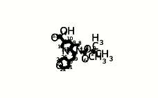 CC(C)(C)OC(=O)N1Cc2cc(C(=O)O)cnc2C1CC1CCOCC1